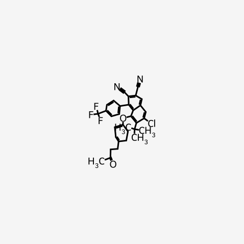 CC(=O)CCC1=CC=C(Oc2c(C(C)(C)C)c(Cl)cc3cc(C#N)c(C#N)c(-c4ccc(C(F)(F)F)cc4)c23)CC1